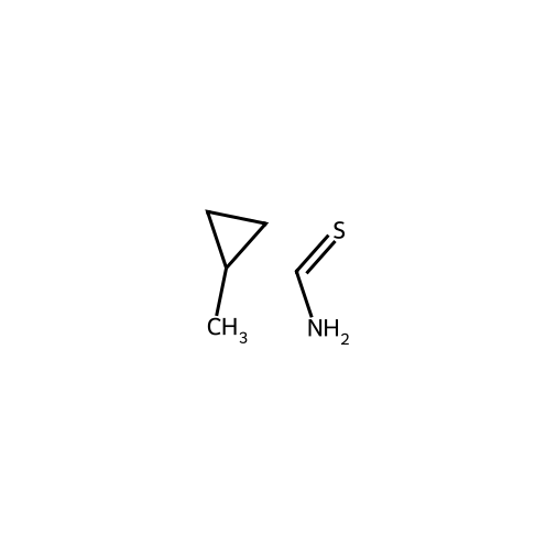 CC1CC1.NC=S